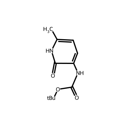 Cc1ccc(NC(=O)OC(C)(C)C)c(=O)[nH]1